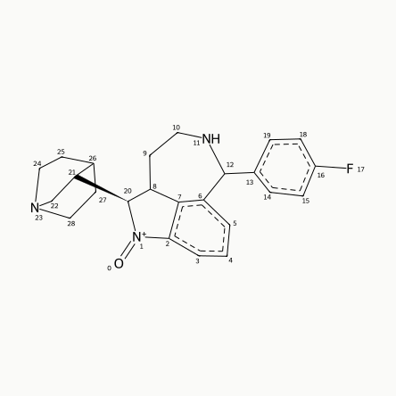 O=[N+]1c2cccc3c2C(CCNC3c2ccc(F)cc2)[C@@H]1C1CN2CCC1CC2